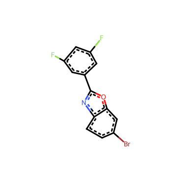 Fc1cc(F)cc(-c2nc3ccc(Br)cc3o2)c1